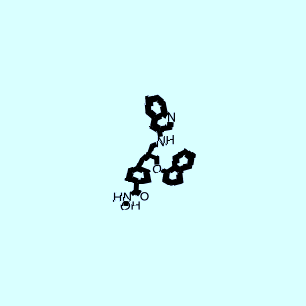 O=C(NO)c1ccc(C=C(CNc2cnc3ccccc3c2)COc2cccc3ccccc23)cc1